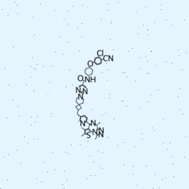 Cc1sc2c(c1C)C(c1ccc(CC3CC4(CCN(c5ncc(C(=O)N[C@H]6CC[C@H](Oc7ccc(C#N)c(Cl)c7)CC6)cn5)CC4)C3)cn1)=N[C@@H](C)c1nnc(C)n1-2